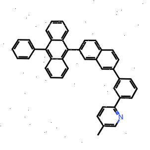 Cc1ccc(-c2cccc(-c3ccc4ccc(-c5c6ccccc6c(-c6ccccc6)c6ccccc56)cc4c3)c2)nc1